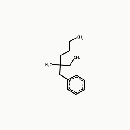 CCCCC(C)(CC)Cc1ccccc1